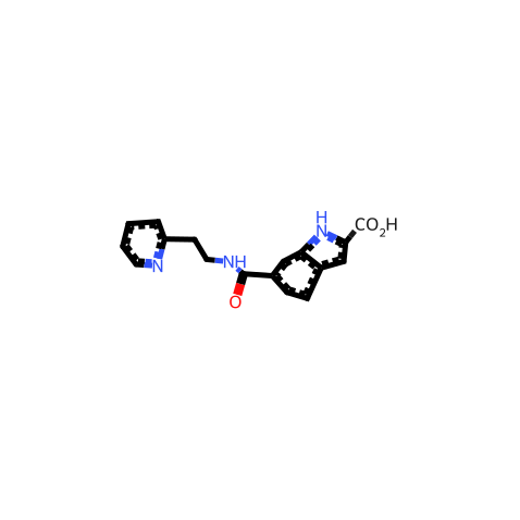 O=C(NCCc1ccccn1)c1ccc2cc(C(=O)O)[nH]c2c1